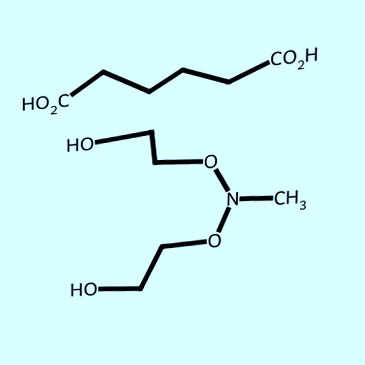 CN(OCCO)OCCO.O=C(O)CCCCC(=O)O